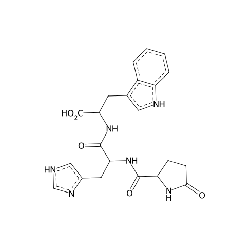 O=C1CCC(C(=O)NC(Cc2c[nH]cn2)C(=O)NC(Cc2c[nH]c3ccccc23)C(=O)O)N1